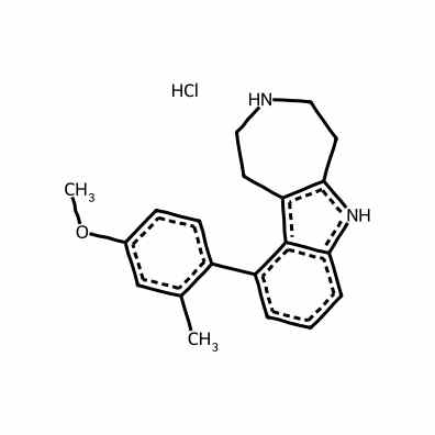 COc1ccc(-c2cccc3[nH]c4c(c23)CCNCC4)c(C)c1.Cl